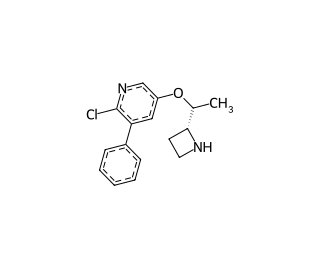 CC(Oc1cnc(Cl)c(-c2ccccc2)c1)[C@H]1CCN1